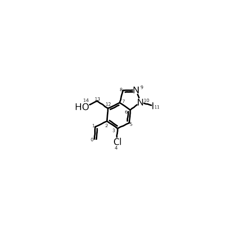 C=Cc1c(Cl)cc2c(cnn2I)c1CO